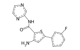 Nc1cc(-c2cccc(F)c2)sc1C(=O)Nc1cnccn1